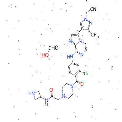 N#CCn1cc(-c2cnc3c(Nc4ccc(C(=O)N5CCN(CC(=O)NC6CNC6)CC5)c(Cl)c4)nccn23)c(C(F)(F)F)n1.O=CO